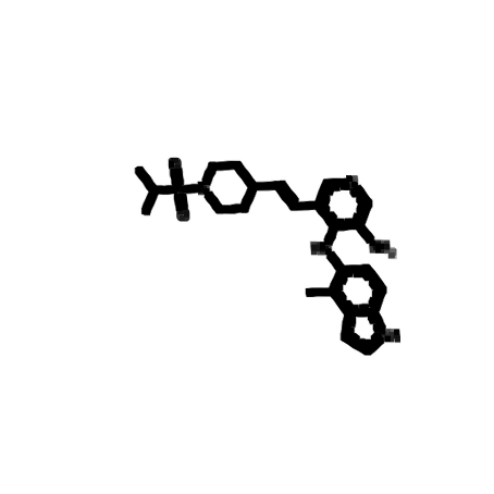 Cc1c(Nc2c(N)cncc2/C=C/C2CCN(S(=O)(=O)C(C)C)CC2)ccc2[nH]ccc12